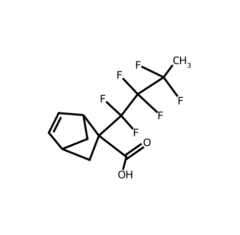 CC(F)(F)C(F)(F)C(F)(F)C1(C(=O)O)CC2C=CC1C2